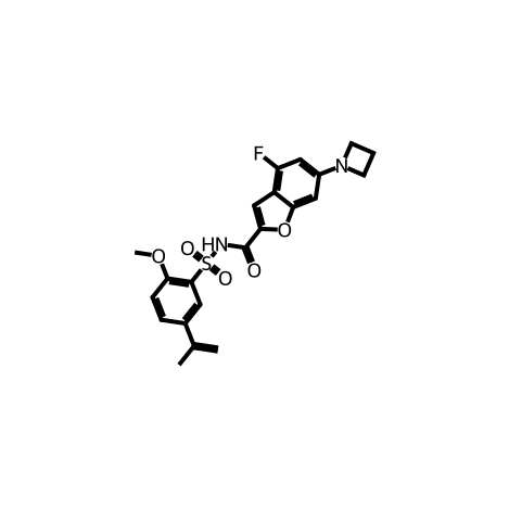 C=C(C)c1ccc(OC)c(S(=O)(=O)NC(=O)c2cc3c(F)cc(N4CCC4)cc3o2)c1